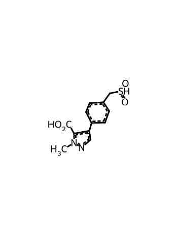 Cn1ncc(-c2ccc(C[SH](=O)=O)cc2)c1C(=O)O